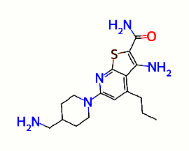 CCCc1cc(N2CCC(CN)CC2)nc2sc(C(N)=O)c(N)c12